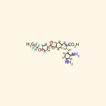 CC(F)(F)C(F)(F)Oc1ccc(C(=O)Oc2ccc(/C=C(\CCc3ccc(N)cc3N)C(=O)O)cc2)cc1